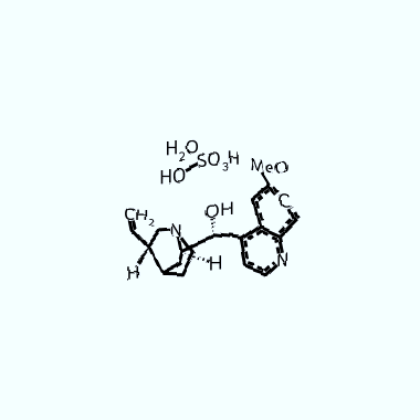 C=C[C@@H]1CN2CCC1C[C@@H]2[C@H](O)c1ccnc2ccc(OC)cc12.O.O=S(=O)(O)O